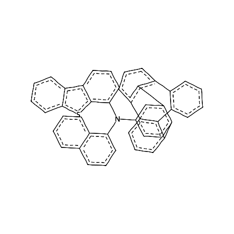 c1ccc2c(c1)-c1cccc3c1-c1cc(N(c4cccc5ccccc45)c4cccc5c4sc4ccccc45)ccc1-c1cccc-3c1-2